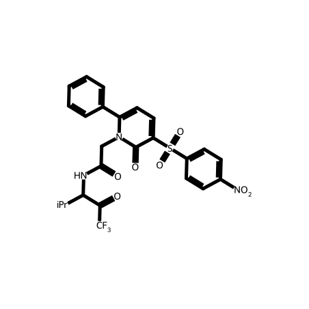 CC(C)C(NC(=O)Cn1c(-c2ccccc2)ccc(S(=O)(=O)c2ccc([N+](=O)[O-])cc2)c1=O)C(=O)C(F)(F)F